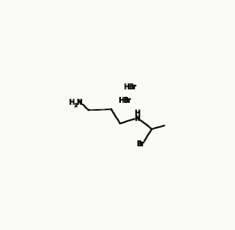 Br.Br.CC(Br)NCCCN